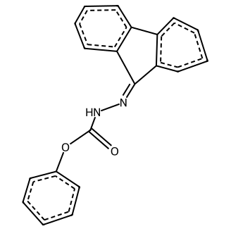 O=C(NN=C1c2ccccc2-c2ccccc21)Oc1ccccc1